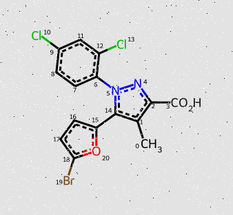 Cc1c(C(=O)O)nn(-c2ccc(Cl)cc2Cl)c1-c1ccc(Br)o1